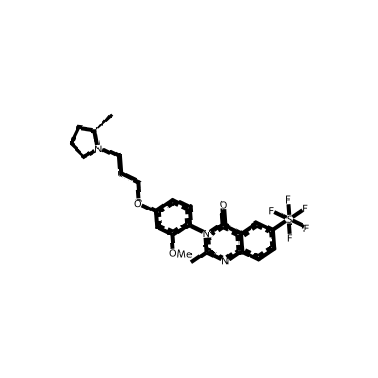 COc1cc(OCCCN2CCC[C@H]2C)ccc1-n1c(C)nc2ccc(S(F)(F)(F)(F)F)cc2c1=O